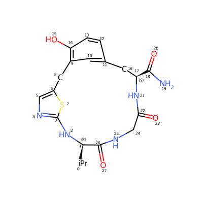 CC(C)[C@H]1Nc2ncc(s2)Cc2cc(ccc2O)C[C@@H](C(N)=O)NC(=O)CNC1=O